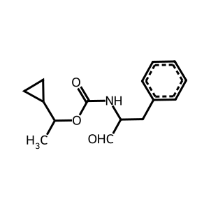 CC(OC(=O)NC(C=O)Cc1ccccc1)C1CC1